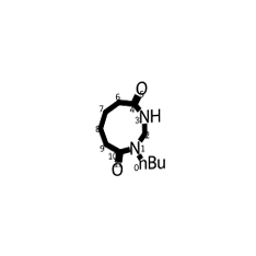 CCCCN1CNC(=O)CCCCC1=O